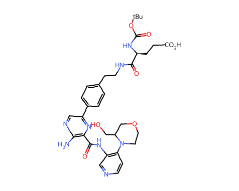 CC(C)(C)OC(=O)N[C@@H](CCC(=O)O)C(=O)NCCc1ccc(-c2cnc(N)c(C(=O)Nc3cnccc3N3CCOCC3CO)n2)cc1